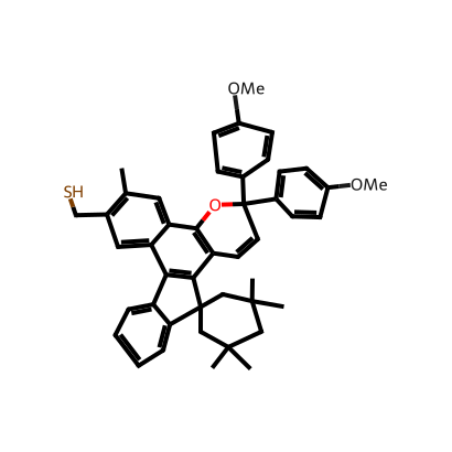 COc1ccc(C2(c3ccc(OC)cc3)C=Cc3c4c(c5cc(CS)c(C)cc5c3O2)-c2ccccc2C42CC(C)(C)CC(C)(C)C2)cc1